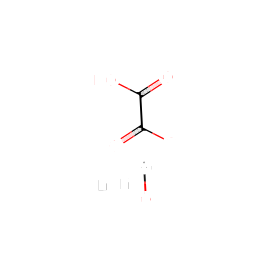 CC(=O)[O-].O=C([O-])C(=O)O.[Li+].[Li+]